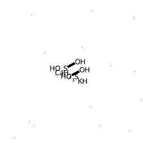 O=S(=O)(O)O.O=S(=O)(O)O.[CaH2].[KH]